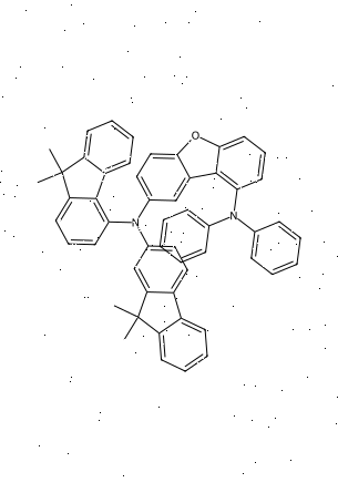 CC1(C)c2ccccc2-c2ccc(N(c3ccc4oc5cccc(N(c6ccccc6)c6ccccc6)c5c4c3)c3cccc4c3-c3ccccc3C4(C)C)cc21